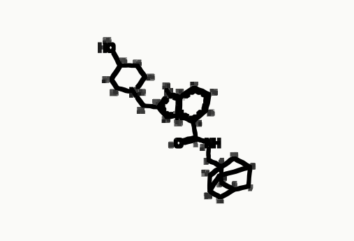 O=C(NCC12CC3CC(CC(C3)C1)C2)c1cccc2nc(CN3CCC(O)CC3)cn12